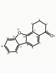 O=C1CCCc2c1ccc1c2oc2ccccc21